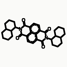 O=C1c2ccc3c4c(ccc(c24)C(=O)N1C1CCCC2CCCCC21)C(=O)N(C1CCCC2CCCCC21)C3=O